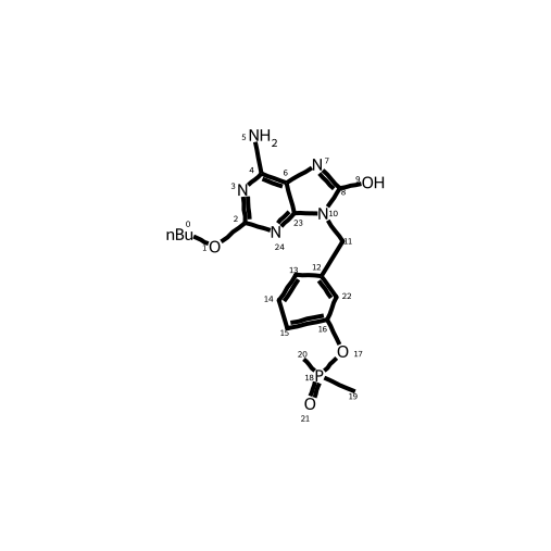 CCCCOc1nc(N)c2nc(O)n(Cc3cccc(OP(C)(C)=O)c3)c2n1